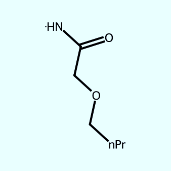 CCCCOCC([NH])=O